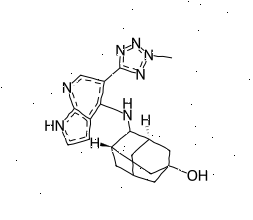 Cn1nnc(-c2cnc3[nH]ccc3c2NC2[C@@H]3CC4C[C@H]2CC(O)(C4)C3)n1